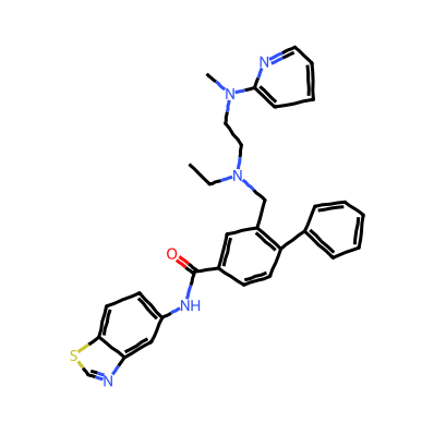 CCN(CCN(C)c1ccccn1)Cc1cc(C(=O)Nc2ccc3scnc3c2)ccc1-c1ccccc1